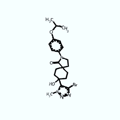 CC(C)Oc1ccc(N2CCC3(CCC(O)(c4c(Br)nnn4C)CC3)C2=O)cc1